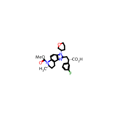 COC(=O)N1c2ccc3c(nc(C[C@H](C(=O)O)c4cccc(F)c4)n3[C@H]3CCCOC3)c2CC[C@@H]1C